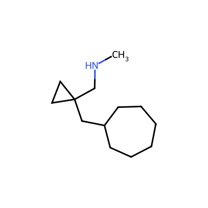 CNCC1(CC2CCCCCC2)CC1